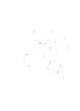 CC(C)(C)c1ccc([I+]c2ccc(C(C)(C)C)cc2)cc1.O=S(=O)([O-])C(F)(F)C(F)(F)C(F)(F)C(F)(F)F